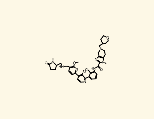 COc1nc(-c2ccnc(-c3cccc(NC(=O)c4nc5c(n4C)CCN(CC4CCOCC4)C5)c3Cl)c2Cl)ccc1CNCC1CCC(=O)N1